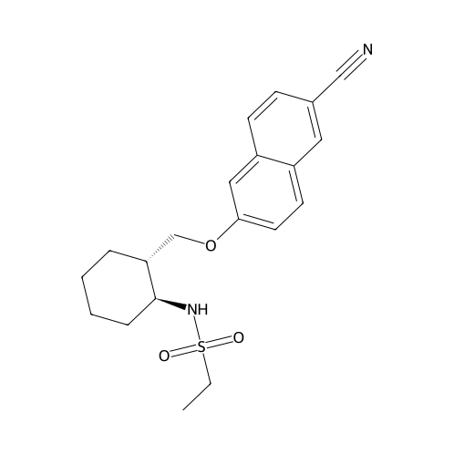 CCS(=O)(=O)N[C@H]1CCCC[C@@H]1COc1ccc2cc(C#N)ccc2c1